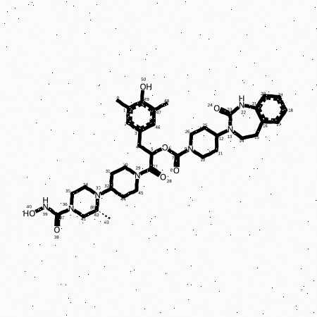 Cc1cc(CC(OC(=O)N2CCC(N3CCc4ccccc4NC3=O)CC2)C(=O)N2CCC(N3CCN(C(=O)NO)C[C@H]3C)CC2)cc(C)c1O